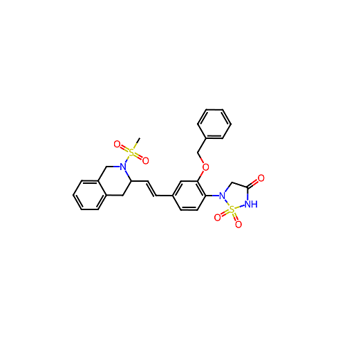 CS(=O)(=O)N1Cc2ccccc2CC1C=Cc1ccc(N2CC(=O)NS2(=O)=O)c(OCc2ccccc2)c1